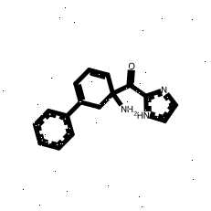 NC1(C(=O)c2ncc[nH]2)C=CC=C(c2ccccc2)C1